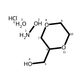 Cl.NO.O.OCC1COCCO1